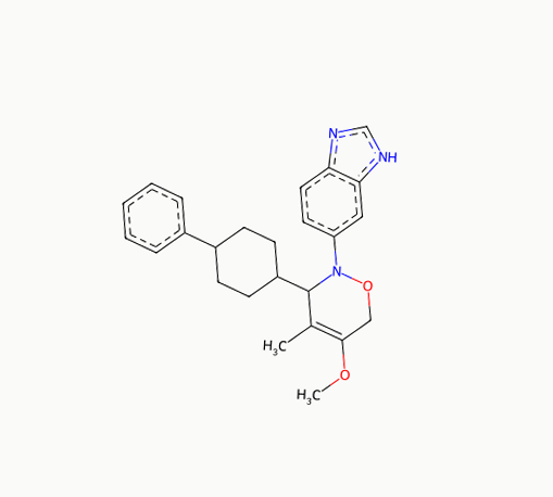 COC1=C(C)C(C2CCC(c3ccccc3)CC2)N(c2ccc3nc[nH]c3c2)OC1